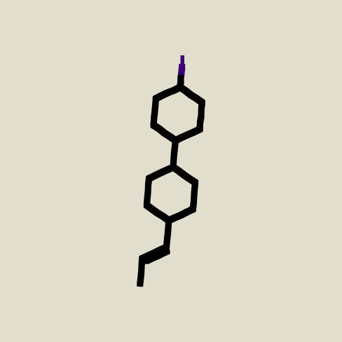 CC=CC1CCC(C2CCC(I)CC2)CC1